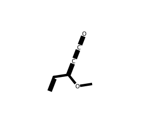 C=CC(=C=C=O)OC